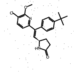 COc1nc(C(=C[C@H]2CCC(=O)N2)c2ccc(C(C)(C)C)cc2)ccc1Cl